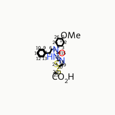 COC1CCC(N(CCc2ccccc2)C(=O)Nc2ncc(SCC(=O)O)s2)CC1